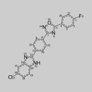 Fc1ccc(-c2nc(-c3ccc(-c4nc5cc(Cl)ccc5[nH]4)cc3)no2)cc1